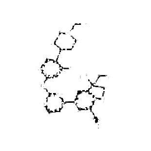 CCN1CCC(c2ccc(Nc3nccc(-c4cc(C#N)c5c(c4)C(C)(CO)CN5)n3)cc2Cl)CC1